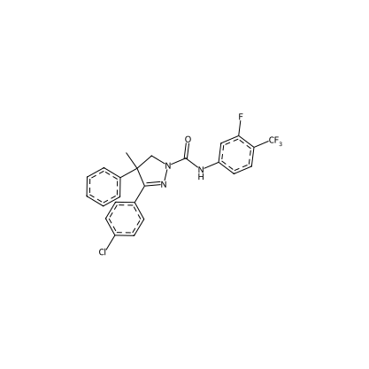 CC1(c2ccccc2)CN(C(=O)Nc2ccc(C(F)(F)F)c(F)c2)N=C1c1ccc(Cl)cc1